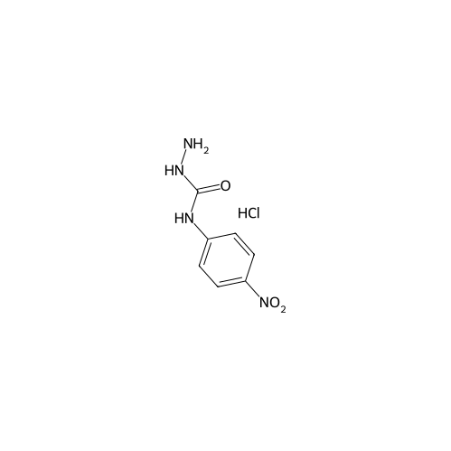 Cl.NNC(=O)Nc1ccc([N+](=O)[O-])cc1